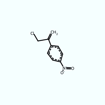 C=C(CCl)c1ccc([N+](=O)[O-])cc1